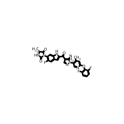 Cc1cc(Oc2c(F)cccc2F)ncc1-n1ncc(C(=O)c2cc3cc(F)c(N4C(=O)N[C@@H](C)C4=O)cc3[nH]2)c1N